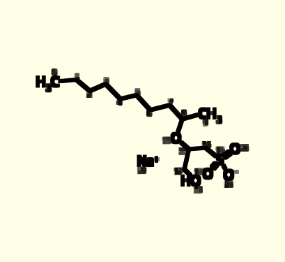 CCCCCCCCC(C)OC(CO)CS(=O)(=O)[O-].[Na+]